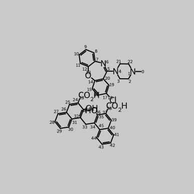 CN1CCN(C2=Nc3ccccc3Oc3ccc(Cl)cc32)CC1.O=C(O)c1cc2ccccc2c(Cc2c(O)c(C(=O)O)cc3ccccc23)c1O